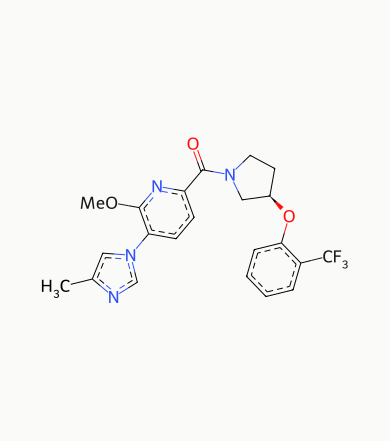 COc1nc(C(=O)N2CC[C@@H](Oc3ccccc3C(F)(F)F)C2)ccc1-n1cnc(C)c1